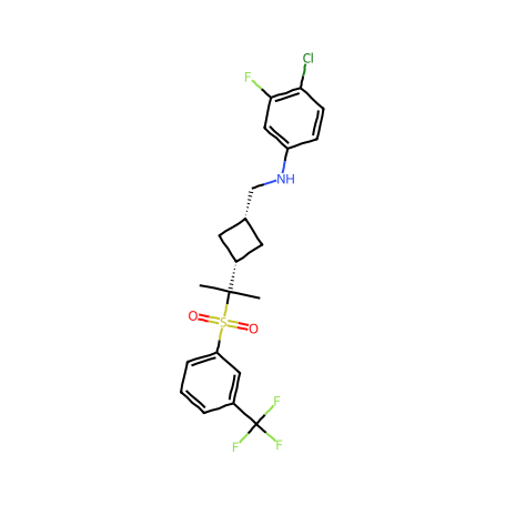 CC(C)([C@H]1C[C@@H](CNc2ccc(Cl)c(F)c2)C1)S(=O)(=O)c1cccc(C(F)(F)F)c1